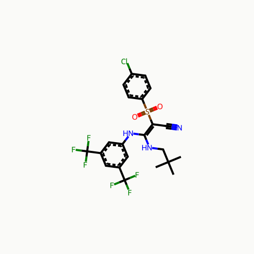 CC(C)(C)CNC(Nc1cc(C(F)(F)F)cc(C(F)(F)F)c1)=C(C#N)S(=O)(=O)c1ccc(Cl)cc1